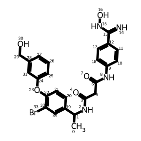 CC(NC(=O)CC(=O)Nc1ccc(C(=N)NO)cc1)c1ccc(Oc2cccc(CO)c2)c(Br)c1